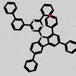 c1ccc(-c2cccc(-c3nc(-c4ccccc4)nc(-n4c5ccc(-c6ccccc6)cc5c5cc(-c6ccccc6)cc(-c6ccccc6)c54)n3)c2)cc1